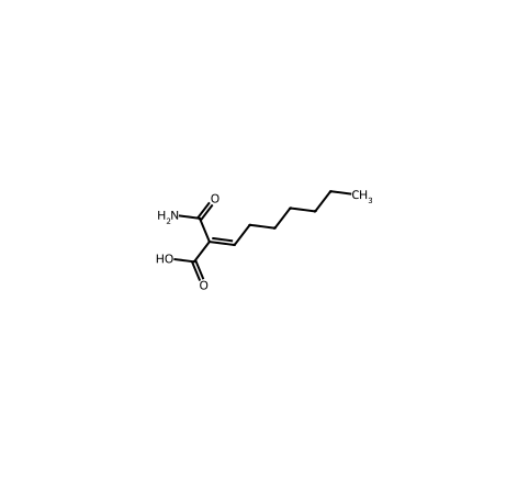 CCCCCC/C=C(\C(N)=O)C(=O)O